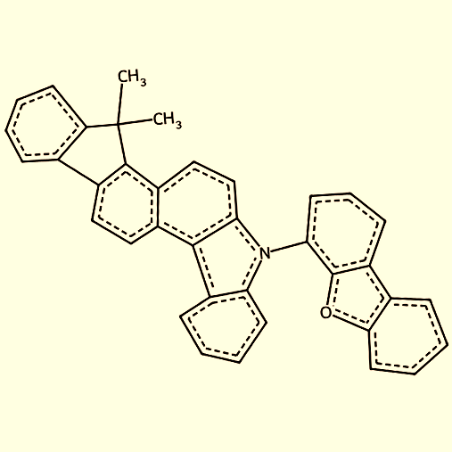 CC1(C)c2ccccc2-c2ccc3c(ccc4c3c3ccccc3n4-c3cccc4c3oc3ccccc34)c21